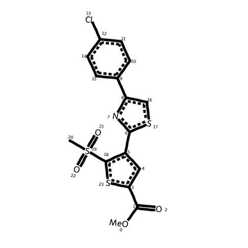 COC(=O)c1cc(-c2nc(-c3ccc(Cl)cc3)cs2)c(S(C)(=O)=O)s1